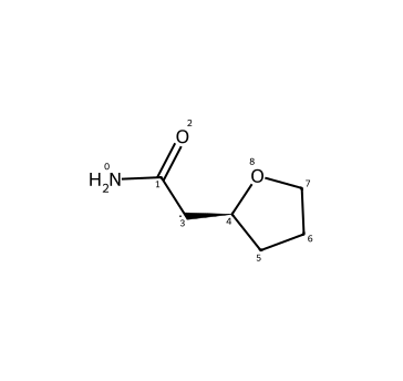 NC(=O)[CH][C@@H]1CCCO1